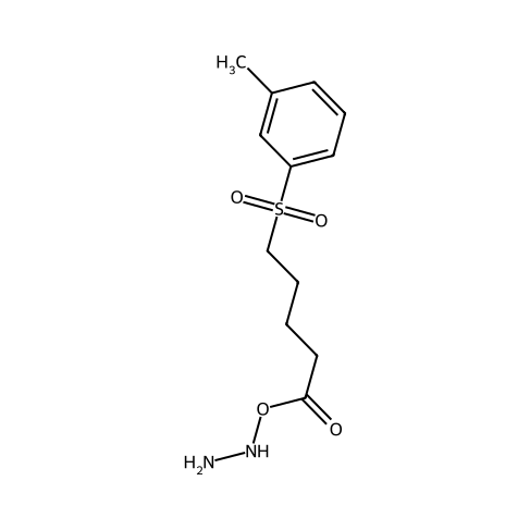 Cc1cccc(S(=O)(=O)CCCCC(=O)ONN)c1